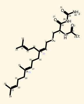 CCC(=O)NC(CSC/C=C(\CC=C(C)C)CC/C=C(\C)CCC=C(C)C)C(=O)NC(N)=O